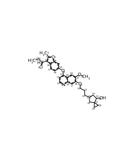 CNC(=O)c1c(C)oc2cc(Oc3ccnc4cc(OCCCN5CC(O)C6(CC6)C5)c(OC)cc34)ccc12